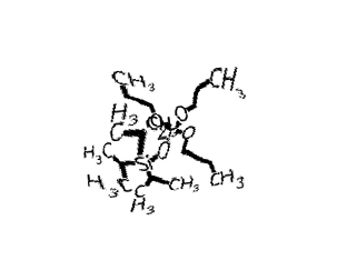 CCC[O][Zr]([O]CCC)([O]CCC)[O][Si](C(C)C)(C(C)C)C(C)C